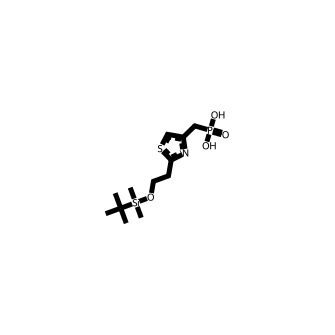 CC(C)(C)[Si](C)(C)OCCc1nc(CP(=O)(O)O)cs1